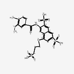 COc1cc(C(=O)Nc2cc3c(OCCCS(=O)(=O)O)cc(S(=O)(=O)O)cc3cc2S(=O)(=O)O)ccc1N